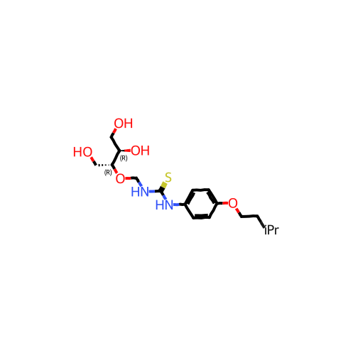 CC(C)CCOc1ccc(NC(=S)NCO[C@H](CO)[C@H](O)CO)cc1